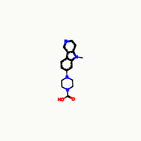 Cn1c2ccncc2c2ccc(N3CCN(C(=O)O)CC3)cc21